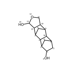 OC1CC2CC1C1C3CC(C4COC(O)C43)C21